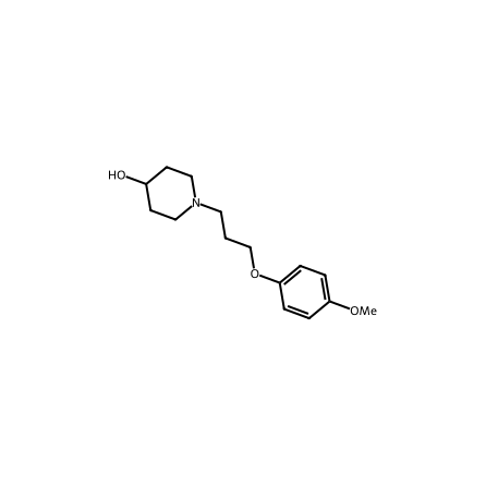 COc1ccc(OCCCN2CCC(O)CC2)cc1